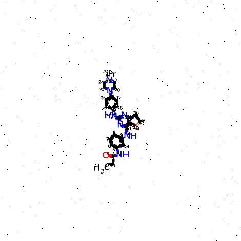 C=CC(=O)Nc1cccc(Nc2nc(Nc3ccc(N4CCN(C(C)C)CC4)cc3)nc3ccsc23)c1